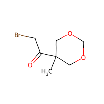 CC1(C(=O)CBr)COCOC1